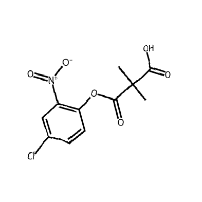 CC(C)(C(=O)O)C(=O)Oc1ccc(Cl)cc1[N+](=O)[O-]